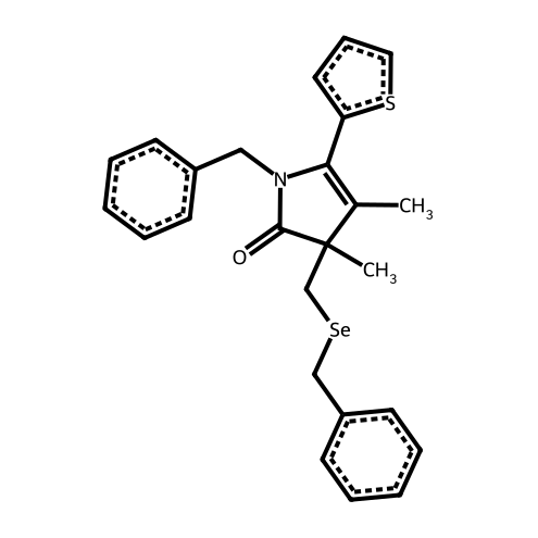 CC1=C(c2cccs2)N(Cc2ccccc2)C(=O)C1(C)C[Se]Cc1ccccc1